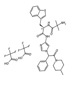 CC1CCN(C(=O)C(c2ccccc2)n2cnc(NC(=O)[C@@H](Cc3csc4ccccc34)NC(=O)C(C)(C)N)c2)CC1.O=C(O)C(F)(F)F.O=C(O)C(F)(F)F